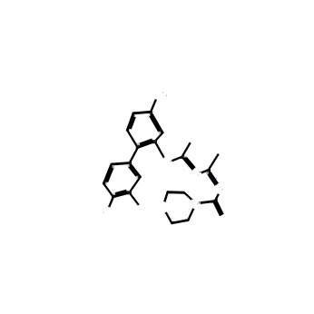 C=C(/N=C(C)\N=C(/C)Oc1cc(C#N)ccc1-c1ccc(C=O)c(F)c1)N1CCOCC1